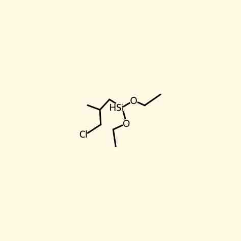 CCO[SiH](CC(C)CCl)OCC